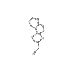 N#CCc1ccc2c(ccc3ncccc32)n1